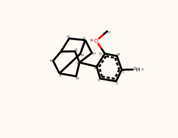 [2H]c1ccc(C23CC4CC(CC(C4)C2)C3)c(OC)c1